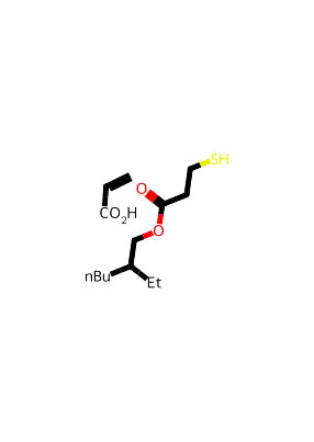 C=CC(=O)O.CCCCC(CC)COC(=O)CCS